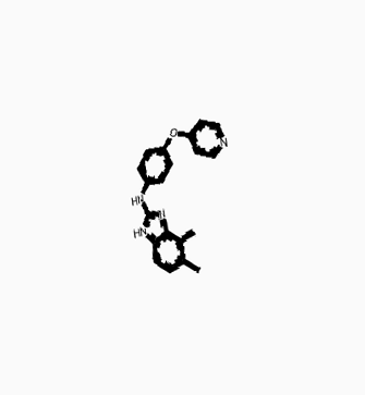 Cc1ccc2[nH]c(Nc3ccc(Oc4ccncc4)cc3)nc2c1C